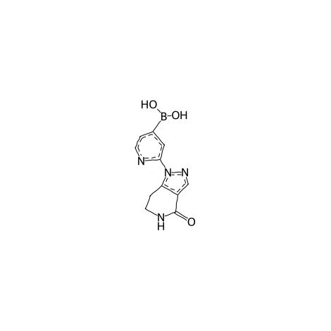 O=C1NCCc2c1cnn2-c1cc(B(O)O)ccn1